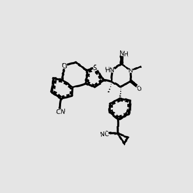 CN1C(=N)N[C@](C)(c2cc3c(s2)COc2ccc(C#N)cc2-3)[C@@H](c2ccc(C3(C#N)CC3)cc2)C1=O